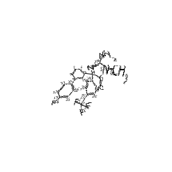 CN1C(=O)C(c2cccc(-c3ccc(F)cc3)c2)(c2ccc(C(F)(F)F)cn2)N=C1N